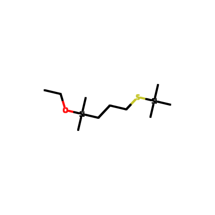 CCO[Si](C)(C)CCCS[Si](C)(C)C